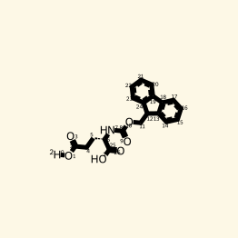 [2H]OC(=O)CC[C@H](NC(=O)OCC1c2ccccc2-c2ccccc21)C(=O)O